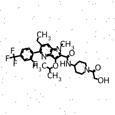 CCc1cc2c(nc1-c1ccc(C(F)(F)F)cc1F)c(OC(C)C)c(C(=O)NC1CCN(C(=O)CO)CC1)n2C